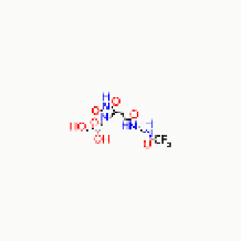 O=C(/C=C/c1cn([C@H]2C[C@H](O)[C@@H](CO)O2)c(=O)[nH]c1=O)NCCNC(=O)C(F)(F)F